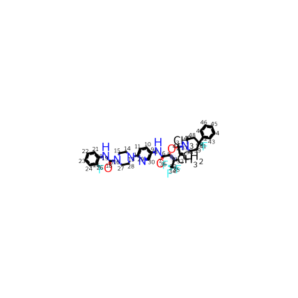 C=CC(C)(O/C(C(=O)Nc1ccc(N2CCN(C(=O)Nc3ccccc3F)CC2)nc1)=C(\C)C(F)(F)F)N1CCC(F)(c2ccccc2)CC1